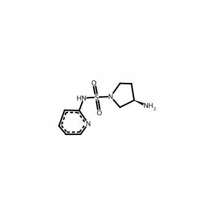 N[C@@H]1CCN(S(=O)(=O)Nc2ccccn2)C1